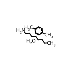 CCCCCCCCN.Cc1ccc(C)cc1.O